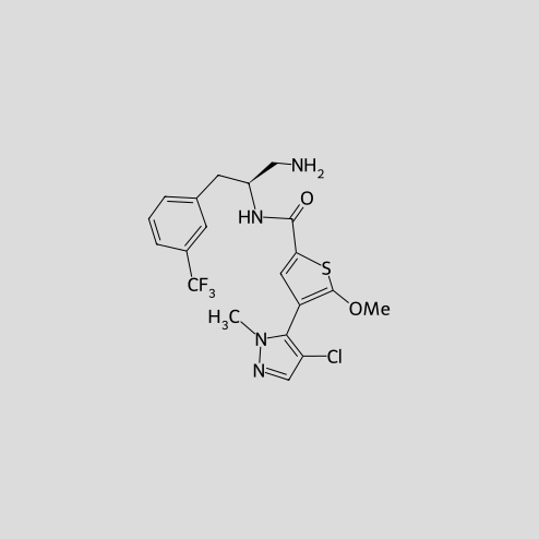 COc1sc(C(=O)N[C@H](CN)Cc2cccc(C(F)(F)F)c2)cc1-c1c(Cl)cnn1C